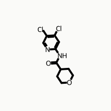 O=C(Nc1cc(Cl)c(Cl)cn1)C1CCOCC1